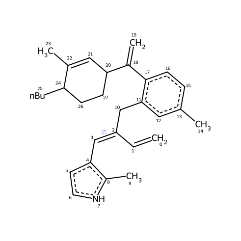 C=C/C(=C\c1cc[nH]c1C)Cc1cc(C)ccc1C(=C)C1C=C(C)C(CCCC)CC1